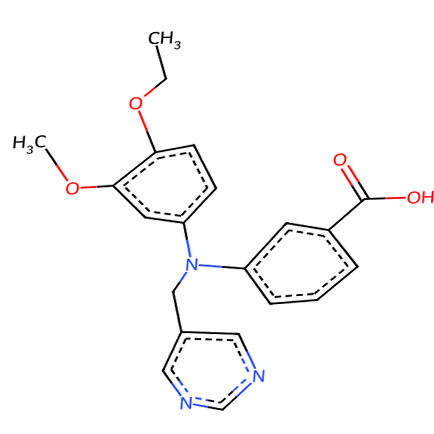 CCOc1ccc(N(Cc2cncnc2)c2cccc(C(=O)O)c2)cc1OC